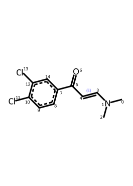 CN(C)/C=C/C(=O)c1ccc(Cl)c(Cl)c1